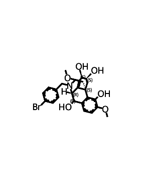 COC1=C2[C@@H]3[C@H](O)c4ccc(OC)c(O)c4[C@]2(CCN3Cc2ccc(Br)cc2)C[C@H](O)[C@@H]1O